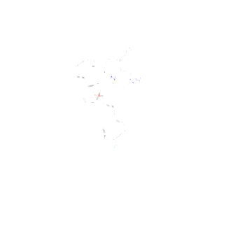 O=C(/C=C/c1ccc(F)cc1)C1CNCC2C(=O)OC(c3ccccc3)(c3ccccc3)N12